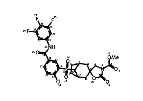 COC(=O)N1CC2(CC3CCC(C2)C3S(=O)(=O)c2cc(C(=O)Nc3cc(F)c(F)c(F)c3)ccc2Cl)OC1=O